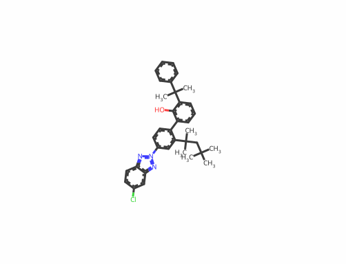 CC(C)(C)CC(C)(C)c1cc(-n2nc3ccc(Cl)cc3n2)ccc1-c1cccc(C(C)(C)c2ccccc2)c1O